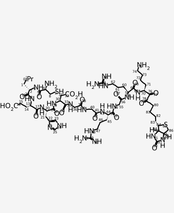 CC(C)C[C@H](NC(=O)[C@@H](N)CS)C(=O)N[C@@H](CCC(=O)O)C(=O)N[C@@H](Cc1c[nH]cn1)C(=O)N[C@@H](CC(=O)O)C(=O)NCC(=O)NCC(=O)N[C@@H](CCCNC(=N)N)C(=O)NCC(=O)N[C@@H](CCCNC(=N)N)C(=O)N[C@@H](CCCCN)C(=O)C(=O)CCCC[C@@H]1SC[C@@H]2NC(=O)N[C@@H]21